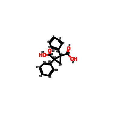 O=C(O)C1(c2ccccc2)CC1(C(=O)O)c1ccccc1